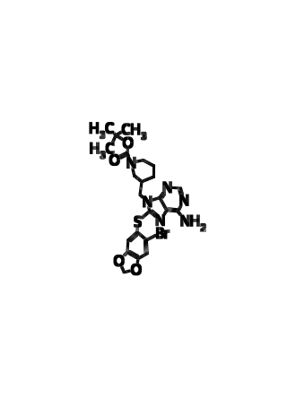 CC(C)(C)OC(=O)N1CCCC(Cn2c(Sc3cc4c(cc3Br)OCO4)nc3c(N)ncnc32)C1